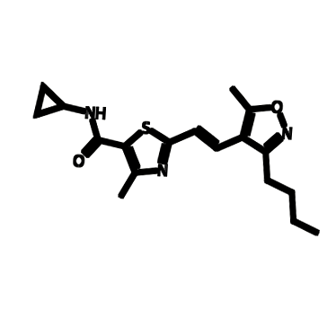 CCCCc1noc(C)c1C=Cc1nc(C)c(C(=O)NC2CC2)s1